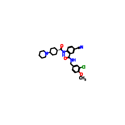 COc1ccc(CNC(=O)c2cc(C#N)ccc2NC(=O)[C@H]2CC[C@H](N3CCCCC3)CC2)cc1Cl